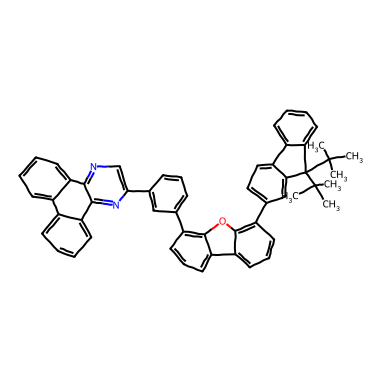 CC(C)(C)C1(C(C)(C)C)c2ccccc2-c2ccc(-c3cccc4c3oc3c(-c5cccc(-c6cnc7c8ccccc8c8ccccc8c7n6)c5)cccc34)cc21